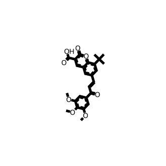 COc1cc(C(=O)C=Cc2cc(C(C)(C)C)c3oc(=O)c(C(=O)O)cc3c2)cc(OC)c1OC